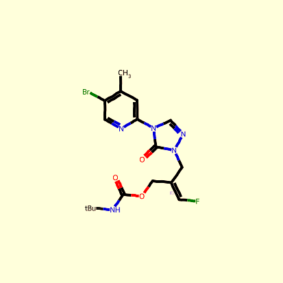 Cc1cc(-n2cnn(C/C(=C\F)COC(=O)NC(C)(C)C)c2=O)ncc1Br